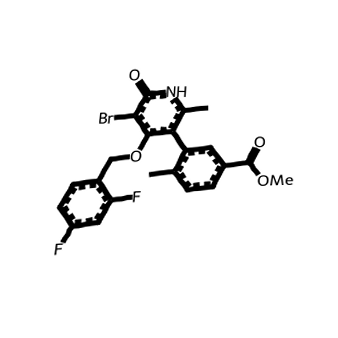 COC(=O)c1ccc(C)c(-c2c(C)[nH]c(=O)c(Br)c2OCc2ccc(F)cc2F)c1